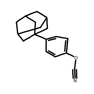 N#COc1ccc(C23CC4CC(CC(C4)C2)C3)cc1